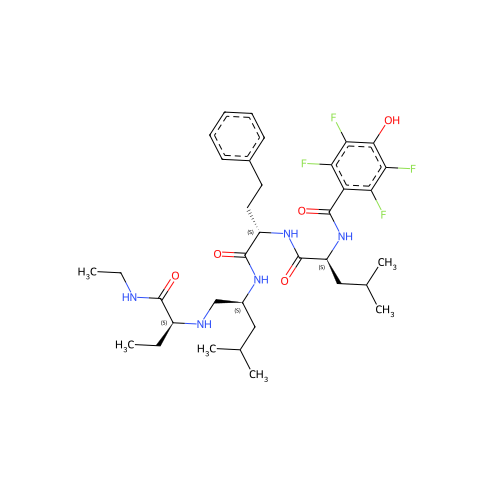 CCNC(=O)[C@H](CC)NC[C@H](CC(C)C)NC(=O)[C@H](CCc1ccccc1)NC(=O)[C@H](CC(C)C)NC(=O)c1c(F)c(F)c(O)c(F)c1F